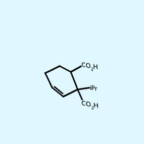 CC(C)C1(C(=O)O)C=CCCC1C(=O)O